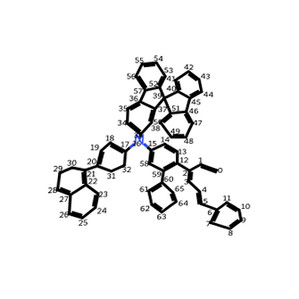 C=C/C(=C\C=C\c1ccccc1)c1ccc(N(C2=CC=C(C3=c4ccccc4=CCC3)CC2)c2ccc3c(c2)C2(c4ccccc4-c4ccccc42)c2ccccc2-3)cc1-c1ccccc1